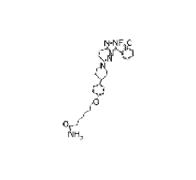 NC(=O)CCCCCCOc1ccc(C2CCN(C3=Nn4c(nnc4-c4ccccc4C(F)(F)F)CC3)CC2)cc1